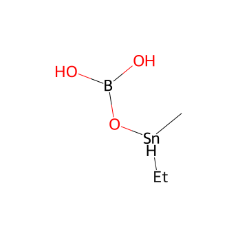 C[CH2][SnH]([CH3])[O]B(O)O